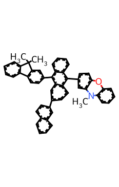 CN1c2ccccc2Oc2ccc(-c3c4ccccc4c(-c4ccc5c(c4)C(C)(C)c4ccccc4-5)c4cc(-c5ccc6ccccc6c5)ccc34)cc21